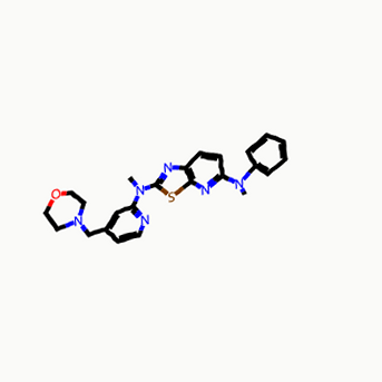 CN(c1ccccc1)c1ccc2nc(N(C)c3cc(CN4CCOCC4)ccn3)sc2n1